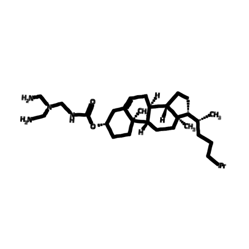 CC(C)CCC[C@@H](C)[C@H]1CC[C@H]2[C@@H]3CC=C4C[C@@H](OC(=O)NCN(CN)CN)CC[C@]4(C)[C@H]3CC[C@]12C